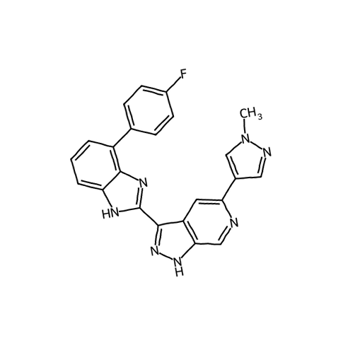 Cn1cc(-c2cc3c(-c4nc5c(-c6ccc(F)cc6)cccc5[nH]4)n[nH]c3cn2)cn1